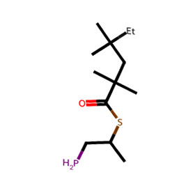 CCC(C)(C)CC(C)(C)C(=O)SC(C)CP